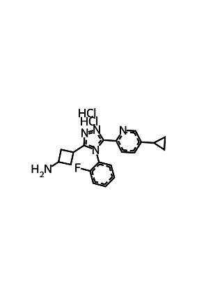 Cl.Cl.NC1CC(c2nnc(-c3ccc(C4CC4)cn3)n2-c2ccccc2F)C1